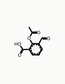 CC(=O)Oc1c(C=O)cccc1C(=O)O